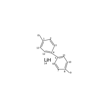 Cc1ccc(-c2ccc(C)cc2)cc1.[LiH]